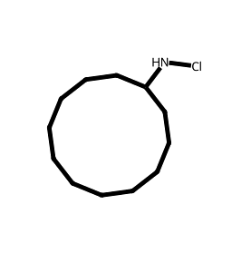 ClNC1CCCCCCCCCCC1